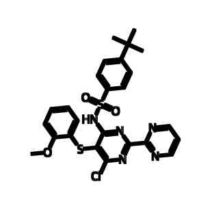 COc1ccccc1Sc1c(Cl)nc(-c2ncccn2)nc1NS(=O)(=O)c1ccc(C(C)(C)C)cc1